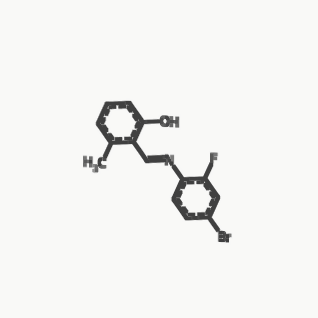 Cc1cccc(O)c1C=Nc1ccc(Br)cc1F